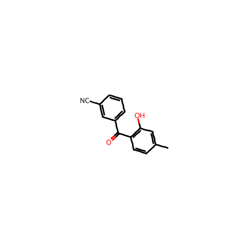 Cc1ccc(C(=O)c2cccc(C#N)c2)c(O)c1